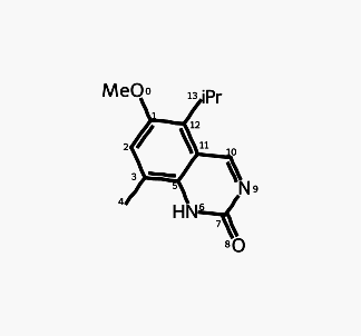 COc1cc(C)c2[nH]c(=O)ncc2c1C(C)C